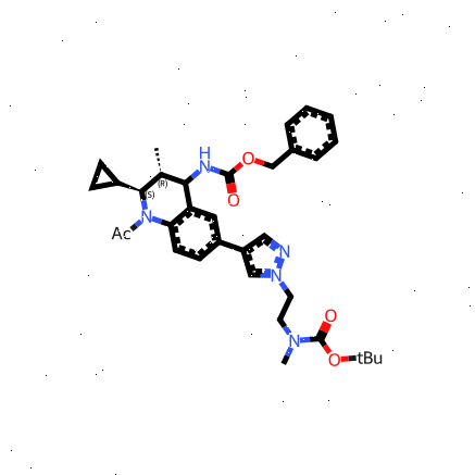 CC(=O)N1c2ccc(-c3cnn(CCN(C)C(=O)OC(C)(C)C)c3)cc2C(NC(=O)OCc2ccccc2)[C@@H](C)[C@@H]1C1CC1